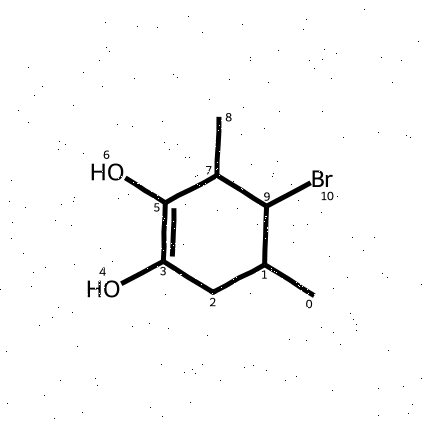 CC1CC(O)=C(O)C(C)C1Br